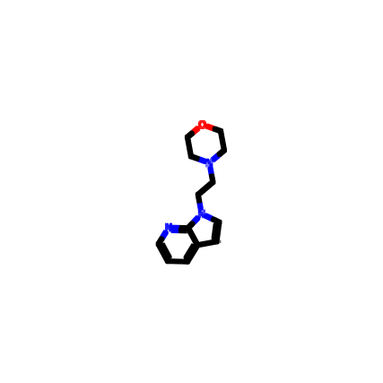 [c]1cn(CCN2CCOCC2)c2ncccc12